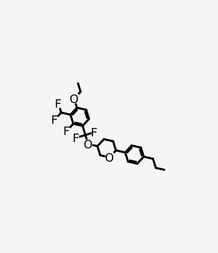 CCCc1ccc(C2CCC(OC(F)(F)c3ccc(OCC)c(C(F)F)c3F)CO2)cc1